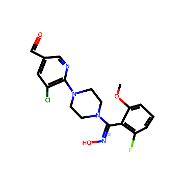 COc1cccc(F)c1/C(=N/O)N1CCN(c2ncc(C=O)cc2Cl)CC1